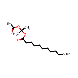 CCCCCCCCCCCCCCCCCCCC(=O)OC(C)(C)OC(=O)C(C)C